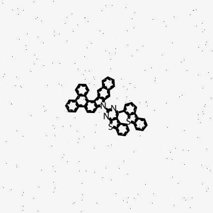 c1ccc2cc3c(cc2c1)c1c2c4ccccc4c4ccccc4c2ccc1n3-c1nc(-c2cccc3c2sc2ccccc23)c2c(n1)sc1ccccc12